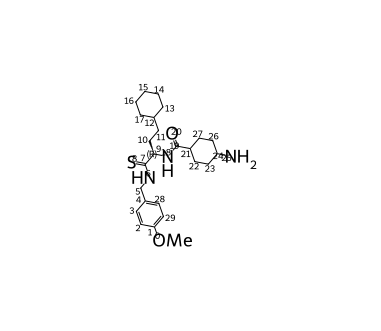 COc1ccc(CNC(=S)[C@@H](CCC2CCCCC2)NC(=O)C2CCC(N)CC2)cc1